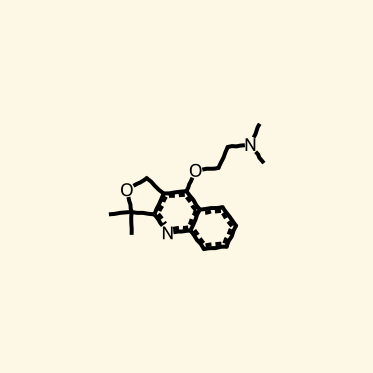 CN(C)CCOc1c2c(nc3ccccc13)C(C)(C)OC2